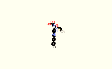 CC(C)[C@H]1CC[C@H](c2ccc(-c3cnc(-c4ccc(C[C@H](NC(=O)c5ccc(C(C)(C)C)s5)C(=O)N5CC(C(O)O)C5)cc4)nc3)cc2)CC1